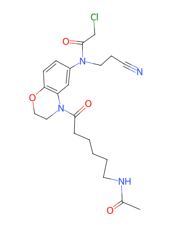 CC(=O)NCCCCCC(=O)N1CCOc2ccc(N(CCC#N)C(=O)CCl)cc21